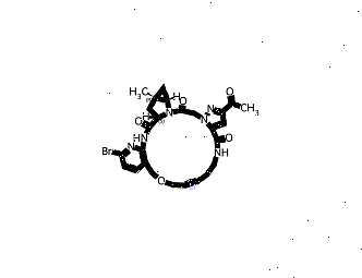 CC(=O)c1cc2n(n1)CC(=O)N1[C@@H](C[C@@]3(C)C[C@@H]13)C(=O)Nc1nc(Br)ccc1COC/C=C\CCNC2=O